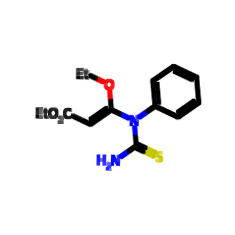 CCOC(=O)C=C(OCC)N(C(N)=S)c1ccccc1